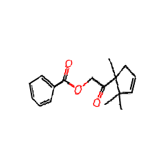 CC1(C)C=CCC1(C)C(=O)COC(=O)c1ccccc1